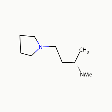 CN[C@@H](C)CCN1CCCC1